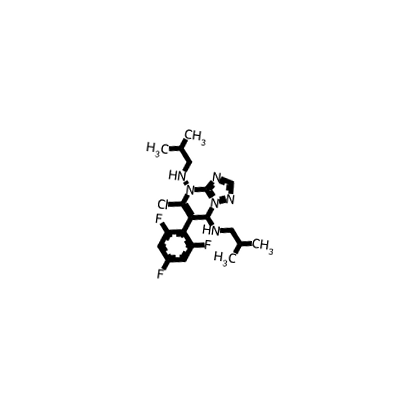 CC(C)CNC1C(c2c(F)cc(F)cc2F)=C(Cl)N(NCC(C)C)c2ncnn21